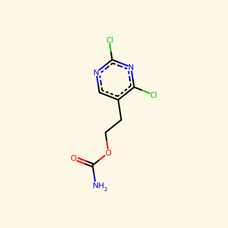 NC(=O)OCCc1cnc(Cl)nc1Cl